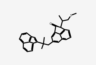 CSCC(C)C1C(=O)c2cc(CC(C)(C)C3=Cc4cccc5cccc3c45)cc3cccc1c23